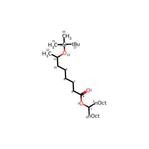 CCCCCCCCC(CCCCCCCC)OC(=O)CCCCCC(C)O[Si](C)(C)C(C)(C)C